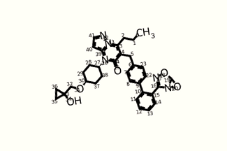 CCCc1c(Cc2ccc(-c3ccccc3C3=NOC4ON34)cc2)c(=O)n([C@H]2CC[C@H](OCC3(O)CC3)CC2)c2ccnn12